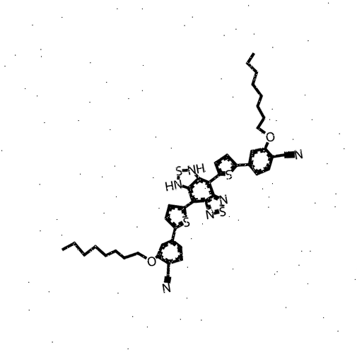 CCCCCCCCOc1cc(-c2ccc(-c3c4c(c(-c5ccc(-c6ccc(C#N)c(OCCCCCCCC)c6)s5)c5nsnc35)NSN4)s2)ccc1C#N